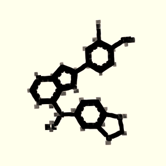 COc1ccc(-c2cc3ncnc(N(C)c4ccc5c(c4)OCO5)c3s2)cc1F